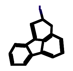 IC1C=C2c3ccccc3-c3cccc(c32)C1